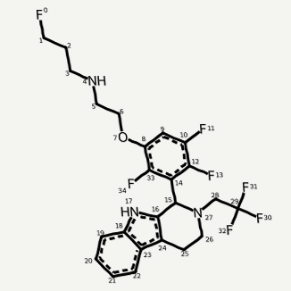 FCCCNCCOc1cc(F)c(F)c(C2c3[nH]c4ccccc4c3CCN2CC(F)(F)F)c1F